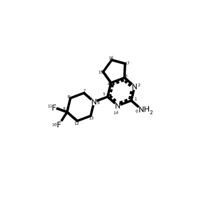 Nc1nc2c(c(N3CCC(F)(F)CC3)n1)CCC2